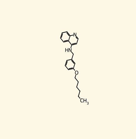 CCCCCCOc1cccc(CNc2ccnc3ccccc23)c1